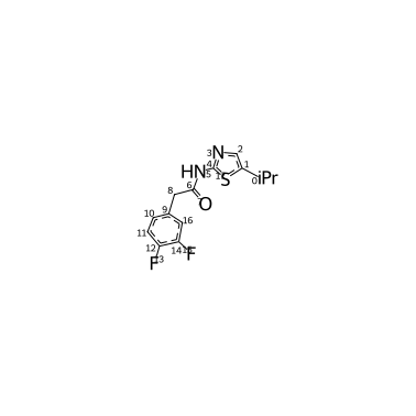 CC(C)c1cnc(NC(=O)Cc2ccc(F)c(F)c2)s1